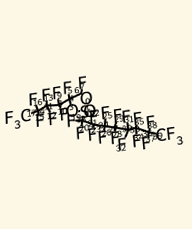 O=S(=O)(OC(F)(CF)C(F)(F)C(F)(F)C(F)(F)C(F)(F)F)C(F)(F)C(F)(F)C(F)(F)C(F)(F)C(F)(F)C(F)(F)C(F)(F)C(F)(F)F